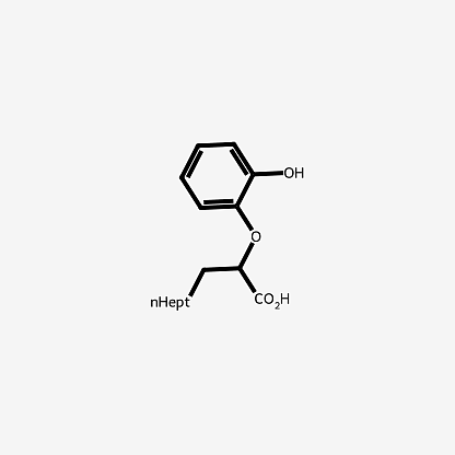 CCCCCCCCC(Oc1ccccc1O)C(=O)O